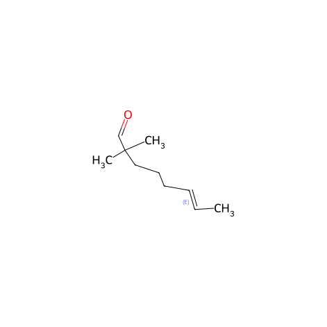 C/C=C/CCCC(C)(C)C=O